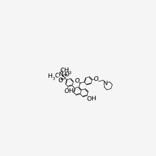 CN(C)S(=O)(=O)c1ccc(-c2ccc3cc(O)ccc3c2C(=O)c2ccc(OCCN3CCCCC3)cc2)c(O)c1